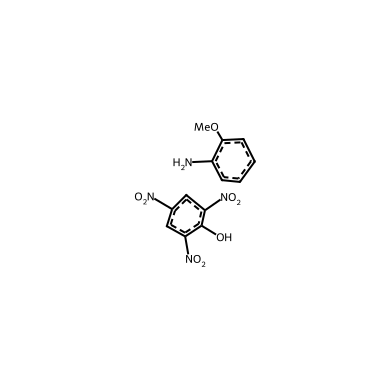 COc1ccccc1N.O=[N+]([O-])c1cc([N+](=O)[O-])c(O)c([N+](=O)[O-])c1